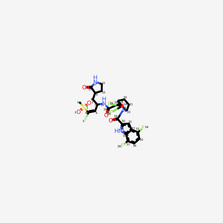 CS(=O)(=O)C(F)=CC(CC1CCNC1=O)NC(=O)C1C2CCC(CC2(F)F)N1C(=O)c1cc2c(F)ccc(F)c2[nH]1